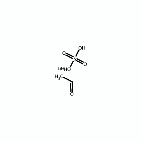 CC=O.O=S(=O)(O)O.[LiH]